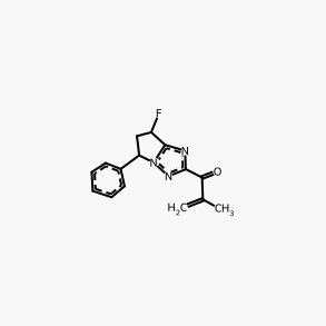 C=C(C)C(=O)c1nc2n(n1)C(c1ccccc1)CC2F